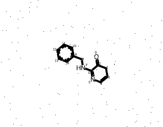 O=C1CC=CN=C1NCc1ccccc1